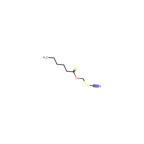 CCCCCC(=S)OCSC#N